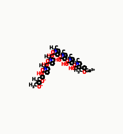 Cc1ccc2cccc(C(=O)O)c2n1.Cc1ccc2cccc(C(=O)O)c2n1.Cc1ccc2cccc(C(=O)O)c2n1.Cc1ccc2cccc(C(=O)O)c2n1.Cc1ccc2cccc(C(=O)O)c2n1.Cc1ccc2cccc(C(=O)O)c2n1.Cc1ccccc1[O-].Cc1ccccc1[O-].Cc1ccccc1[O-].[Ga+3]